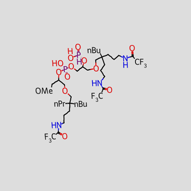 CCCCC(CCCNC(=O)C(F)(F)F)(CCCNC(=O)C(F)(F)F)COCC(COP(=O)(O)OC(COC)COCC(CCC)(CCCC)CCCNC(=O)C(F)(F)F)O[PH](=O)O